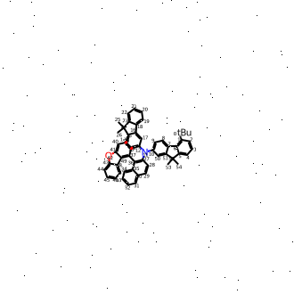 CC(C)(C)c1cccc2c1-c1ccc(N(c3ccc4c(c3)-c3ccccc3C4(C)C)c3ccc4ccccc4c3-c3cccc4oc5ccccc5c34)cc1C2(C)C